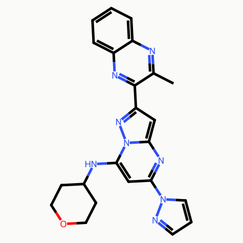 Cc1nc2ccccc2nc1-c1cc2nc(-n3cccn3)cc(NC3CCOCC3)n2n1